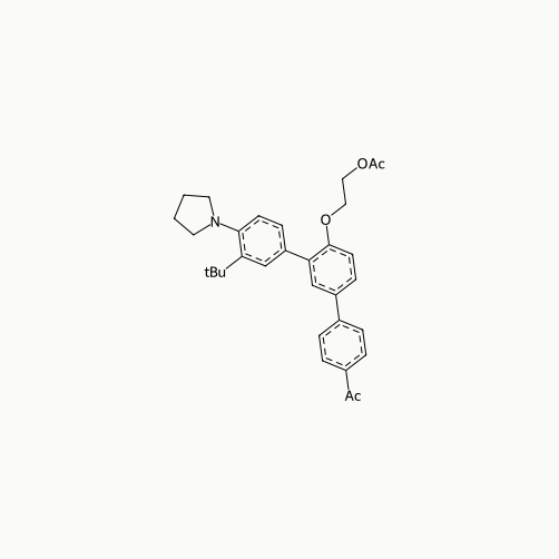 CC(=O)OCCOc1ccc(-c2ccc(C(C)=O)cc2)cc1-c1ccc(N2CCCC2)c(C(C)(C)C)c1